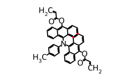 C=CC(=O)Oc1c2ccccc2c(N(c2ccc(C)cc2)c2c3ccccc3c(OC(=O)C=C)c3ccccc23)c2ccccc12